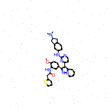 COc1ccc(-c2nn3ccccc3c2-c2ccnc(Nc3ccc4c(c3)CC(N(C)C)C4)n2)cc1NC(=O)Cc1cccs1